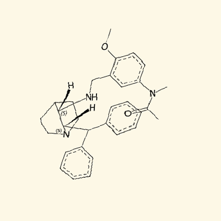 COc1ccc(N(C)C(C)=O)cc1CN[C@H]1C2CCN(CC2)[C@H]1C(c1ccccc1)c1ccccc1